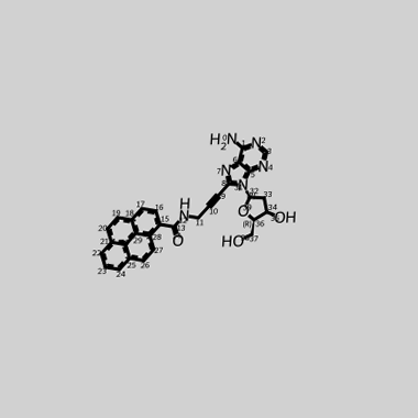 Nc1ncnc2c1nc(C#CCNC(=O)c1ccc3ccc4cccc5ccc1c3c45)n2[C@H]1CC(O)[C@@H](CO)O1